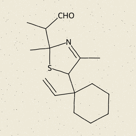 C=CC1(C2SC(C)(C(C)C=O)N=C2C)CCCCC1